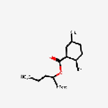 CCCCCC(CCC(=O)O)OC(=O)C1CC(C)CCC1C(C)C